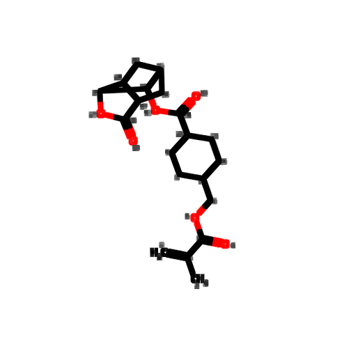 C=C(C)C(=O)OCC1CCC(C(=O)OC2C3CC4C(=O)OC2C4C3)CC1